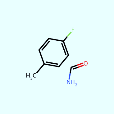 Cc1ccc(F)cc1.NC=O